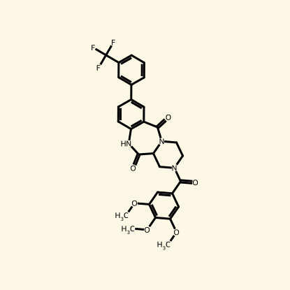 COc1cc(C(=O)N2CCN3C(=O)c4cc(-c5cccc(C(F)(F)F)c5)ccc4NC(=O)C3C2)cc(OC)c1OC